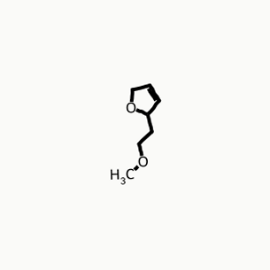 COCCC1C=CCO1